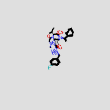 CC(C)[C@H]1C(=O)N(C(C)c2ccccc2)C[C@H]2N1C(=O)CN(C)N2C(=O)NCc1ccc(F)cc1